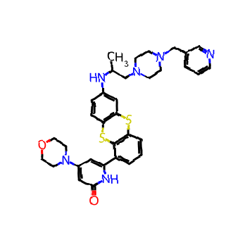 CC(CN1CCN(Cc2cccnc2)CC1)Nc1ccc2c(c1)Sc1cccc(-c3cc(N4CCOCC4)cc(=O)[nH]3)c1S2